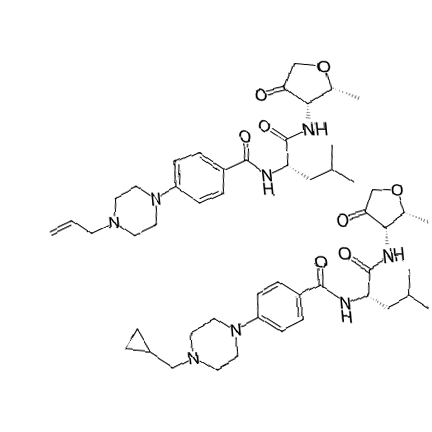 C=CCN1CCN(c2ccc(C(=O)N[C@@H](CC(C)C)C(=O)N[C@@H]3C(=O)CO[C@@H]3C)cc2)CC1.CC(C)C[C@H](NC(=O)c1ccc(N2CCN(CC3CC3)CC2)cc1)C(=O)N[C@@H]1C(=O)CO[C@@H]1C